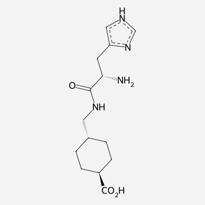 N[C@@H](Cc1c[nH]cn1)C(=O)NC[C@H]1CC[C@H](C(=O)O)CC1